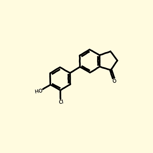 O=C1CCc2ccc(-c3ccc(O)c(Cl)c3)cc21